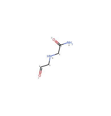 NC(=O)CNCC=O